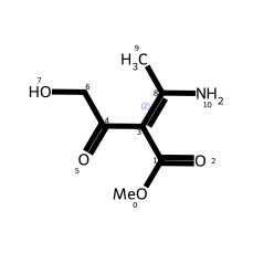 COC(=O)/C(C(=O)CO)=C(/C)N